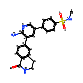 CCNS(=O)(=O)c1ccc(-c2cnc(N)c(-c3ccc4c(c3)CCNC4=O)c2)cc1